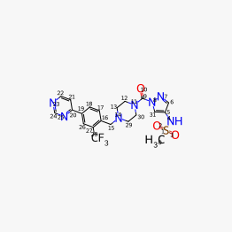 CS(=O)(=O)Nc1cnn(C(=O)N2CCN(Cc3ccc(-c4ccncn4)cc3C(F)(F)F)CC2)c1